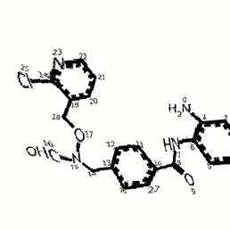 Nc1ccccc1NC(=O)c1ccc(CN(C=O)OCc2cccnc2Cl)cc1